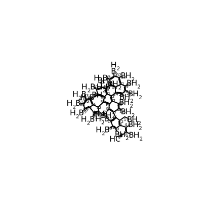 BCc1c(/C(B)=C(/B)C#C)c(B)c(B)c(B)c1-c1c(B)c(B)c2c(-c3c(B)c(B)c(B)c4c(B)c(B)c(B)c(B)c34)c3c(B)c(B)c(B)c(B)c3c(C3C(B)=C(B)c4c(B)c(B)c(B)c(B)c43)c2c1B